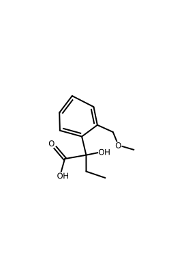 CCC(O)(C(=O)O)c1ccccc1COC